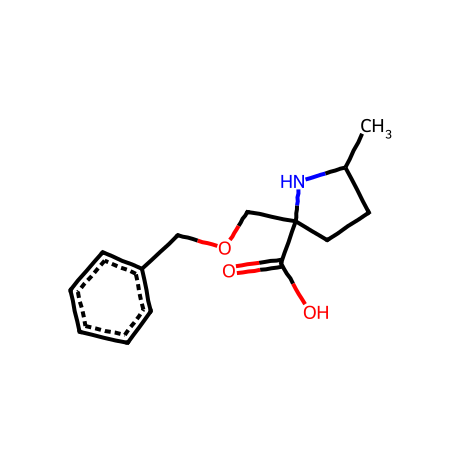 CC1CCC(COCc2ccccc2)(C(=O)O)N1